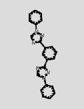 c1ccc(-n2cnc(-c3cccc(-c4ncn(-c5ccccc5)n4)c3)n2)cc1